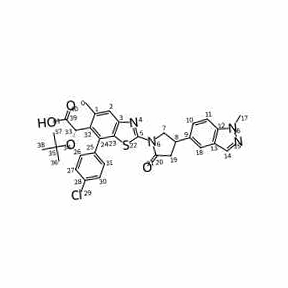 Cc1cc2nc(N3CC(c4ccc5c(cnn5C)c4)CC3=O)sc2c(-c2ccc(Cl)cc2)c1[C@H](OC(C)(C)C)C(=O)O